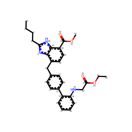 CCCCc1nc2c(Cc3ccc(-c4ccccc4NCC(=O)OCC)cc3)ccc(C(=O)OC)c2[nH]1